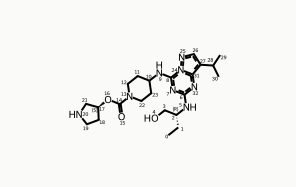 CC[C@H](CO)Nc1nc(NC2CCN(C(=O)O[C@H]3CCNC3)CC2)n2ncc(C(C)C)c2n1